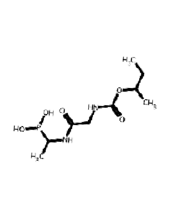 CCC(C)OC(=O)NCC(=O)NC(C)P(O)O